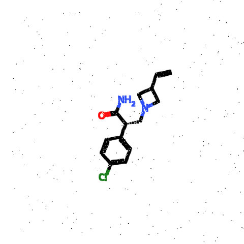 C=CC1CN(C[C@@H](C(N)=O)c2ccc(Cl)cc2)C1